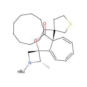 CCCCN1C[C@]2(OC(=O)[C@]3(C4(C5CCCCCCCC5)CCSC4)C=CC=CC=C32)[C@@H]1C